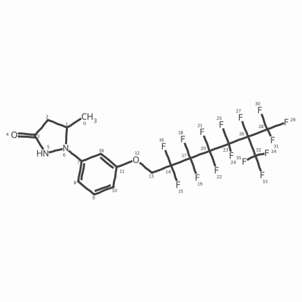 CC1CC(=O)NN1c1cccc(OCC(F)(F)C(F)(F)C(F)(F)C(F)(F)C(F)(C(F)(F)F)C(F)(F)F)c1